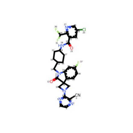 N#Cc1nccnc1N1CC2(C1)C(=O)N(CC1CCC(NC(=O)c3cc(Cl)cnc3C(F)F)CC1)c1cc(F)ccc12